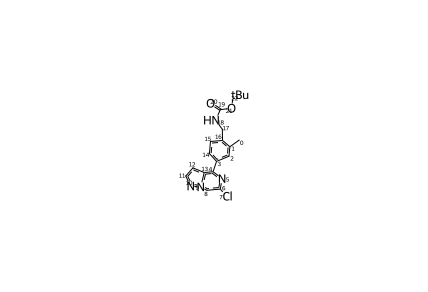 Cc1cc(-c2nc(Cl)cn3nccc23)ccc1CNC(=O)OC(C)(C)C